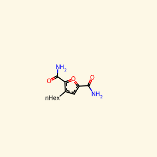 CCCCCCc1cc(C(N)=O)oc1C(N)=O